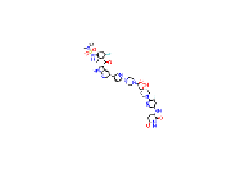 CCN(C)S(=O)(=O)Nc1ccc(F)c(C(=O)c2c[nH]c3ncc(-c4ccc(N5CCN(C(=O)CC6(O)CCN(c7ncc(NC8CCC(=O)NC8=O)cc7F)CC6)CC5)nc4)cc23)c1C